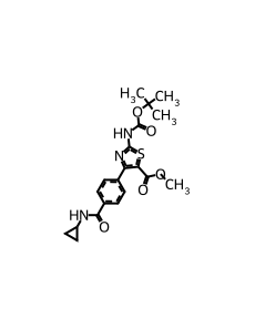 COC(=O)c1sc(NC(=O)OC(C)(C)C)nc1-c1ccc(C(=O)NC2CC2)cc1